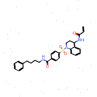 C=CC(=O)NC1CCN(S(=O)(=O)c2ccc(C(=O)NCCCCc3ccccc3)cc2)c2ccccc21